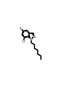 CCCCCCCn1ncc2cc(F)cc(Cl)c21